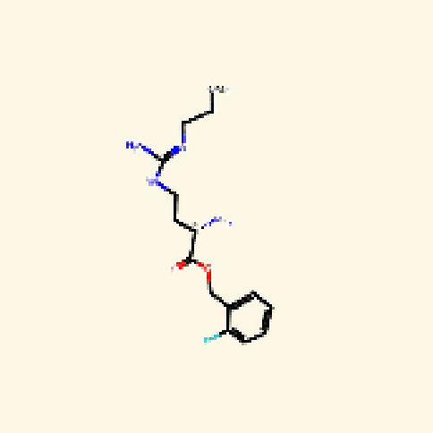 COCCN=C(N)NCC[C@H](N)C(=O)OCc1ccccc1F